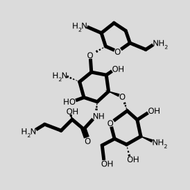 NCC[C@H](O)C(=O)N[C@@H]1C(O)[C@H](N)C(O[C@H]2OC(CN)CCC2N)C(O)[C@H]1O[C@H]1OC(CO)[C@@H](O)[C@H](N)C1O